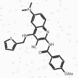 COc1ccc(C(=O)Nc2nc3ccc([As](C)C)cc3c(NCc3cccs3)c2C#N)cc1